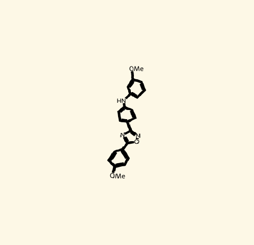 COc1ccc(-c2nc(-c3ccc(Nc4cccc(OC)c4)cc3)no2)cc1